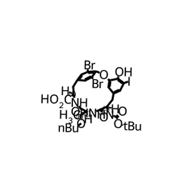 CCCCO[C@H](C)[C@@H]1NC(=O)[C@@H](NC(=O)OC(C)(C)C)Cc2cc(I)c(O)c(c2)Oc2c(Br)cc(cc2Br)C[C@@H](C(=O)O)NC1=O